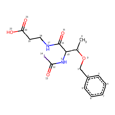 CC(OCc1ccccc1)C(NC(=O)I)C(=O)NCCC(=O)O